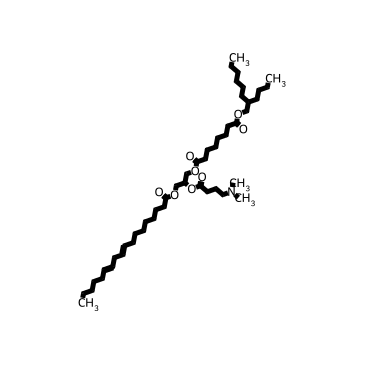 CCCCC/C=C/C/C=C/CCCCCCCC(=O)OCC(COC(=O)CCCCCCC(=O)OCC(CCCC)CCCCCC)OC(=O)CCCN(C)C